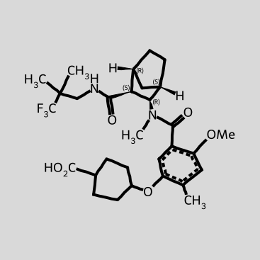 COc1cc(C)c(OC2CCC(C(=O)O)CC2)cc1C(=O)N(C)[C@@H]1[C@H]2CC[C@H](C2)[C@@H]1C(=O)NCC(C)(C)C(F)(F)F